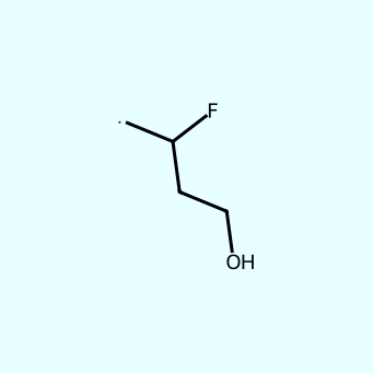 [CH2]C(F)CCO